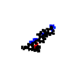 [2H]C([2H])([2H])Oc1ccc(C(F)(F)F)cc1NC(=O)Nc1cccc2c1ccn2C([2H])([2H])c1ccnc(N)c1